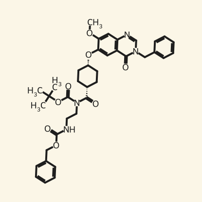 COc1cc2ncn(Cc3ccccc3)c(=O)c2cc1O[C@H]1CC[C@@H](C(=O)N(CCNC(=O)OCc2ccccc2)C(=O)OC(C)(C)C)CC1